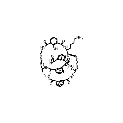 NCCCCC1NC(=O)c2cccc(c2O)C(=O)NCCN2CCNC(=O)c3cccc(c3O)C(=O)NC/C1=N\CCN=C1CNC(=O)c3cccc(c3O)C(=O)NCCN(CCNC(=O)c3cccc(c3O)C(=O)NC1)CC2